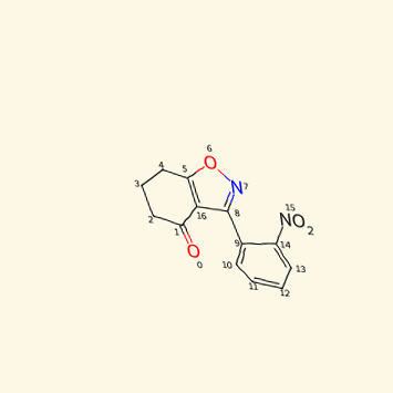 O=C1CCCc2onc(-c3ccccc3[N+](=O)[O-])c21